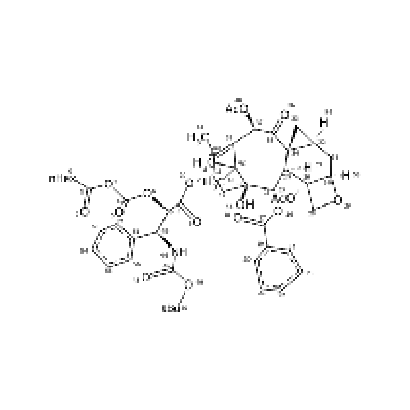 CCCCCCC(=O)OC(=O)O[C@@H](C(=O)O[C@H]1C[C@@]2(O)[C@@H](OC(=O)c3ccccc3)[C@@H]3[C@]4(OC(C)=O)CO[C@@H]4C[C@@H]4C[C@@]43C(=O)[C@H](OC(C)=O)C(=C1C)C2(C)C)[C@@H](NC(=O)OC(C)(C)C)c1ccccc1